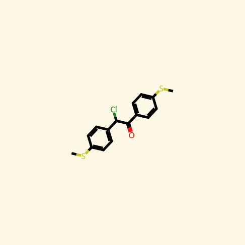 CSc1ccc(C(=O)C(Cl)c2ccc(SC)cc2)cc1